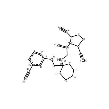 C#CC1CCC(C#N)N1C(=O)CNC1(COc2cccc(C#N)c2)CCCCC1